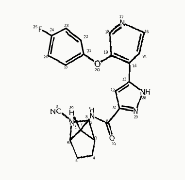 N#CN1CC2CCC1[C@@H]2NC(=O)c1cc(-c2ccncc2Oc2ccc(F)cc2)[nH]n1